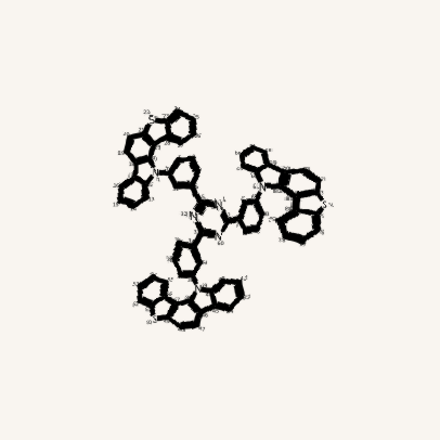 c1cc(-c2nc(-c3cccc(-n4c5ccccc5c5ccc6sc7ccccc7c6c54)c3)nc(-c3cccc(-n4c5ccccc5c5ccc6sc7ccccc7c6c54)c3)n2)cc(-n2c3ccccc3c3ccc4sc5ccccc5c4c32)c1